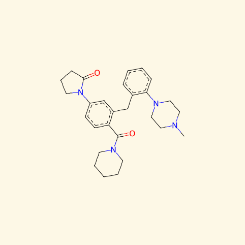 CN1CCN(c2ccccc2Cc2cc(N3CCCC3=O)ccc2C(=O)N2CCCCC2)CC1